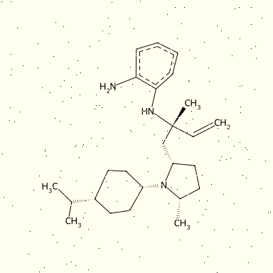 C=C[C@](C)(C[C@@H]1CC[C@H](C)N1[C@H]1CC[C@@H](C(C)C)CC1)Nc1ccccc1N